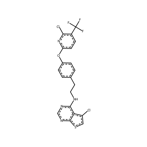 FC(F)(F)c1ccc(Oc2ccc(CCNc3ncnc4scc(Cl)c34)cc2)nc1Cl